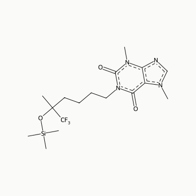 Cn1cnc2c1c(=O)n(CCCCC(C)(O[Si](C)(C)C)C(F)(F)F)c(=O)n2C